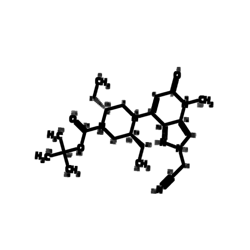 CC[C@@H]1CN(c2cc(=O)n(C)c3cn(CC#N)nc23)[C@@H](CC)CN1C(=O)OC(C)(C)C